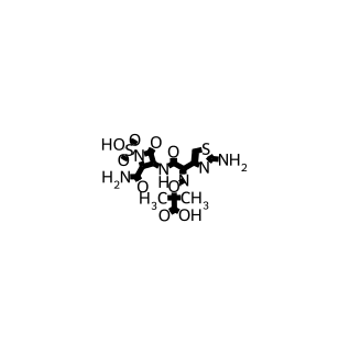 CC(C)(ON=C(C(=O)NC1C(=O)N(S(=O)(=O)O)C1C(N)=O)c1csc(N)n1)C(=O)O